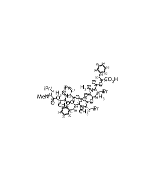 CN[C@@H](CC(C)C)C(=O)O[C@H](C)C(=O)N(C)[C@@H](CC(C)C)C(=O)O[C@H](Cc1ccccc1)C(=O)N(C)[C@@H](CC(C)C)C(=O)O[C@H](C)C(=O)N(C)[C@@H](CC(C)C)C(=O)O[C@H](Cc1ccccc1)C(=O)O